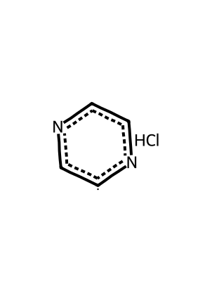 Cl.[c]1cnccn1